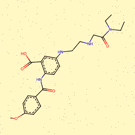 CCN(CC)C(=O)CNCCNc1ccc(NC(=O)c2ccc(OC)cc2)c(C(=O)O)c1